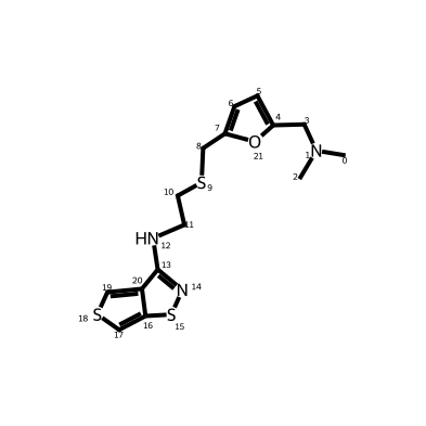 CN(C)Cc1ccc(CSCCNc2nsc3cscc23)o1